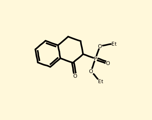 CCOP(=O)(OCC)C1CCc2ccccc2C1=O